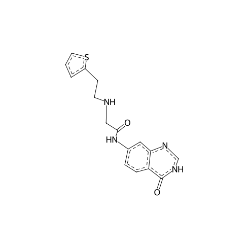 O=C(CNCCc1cccs1)Nc1ccc2c(=O)[nH]cnc2c1